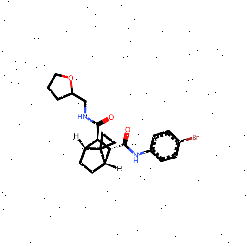 O=C(NCC1CCCO1)[C@H]1[C@H](C(=O)Nc2ccc(Br)cc2)[C@@H]2CC[C@H]1C21CC1